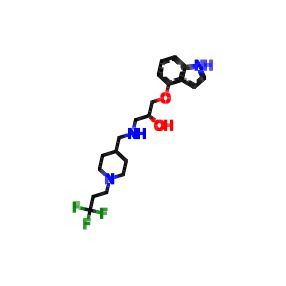 O[C@@H](CNCC1CCN(CCC(F)(F)F)CC1)COc1cccc2[nH]ccc12